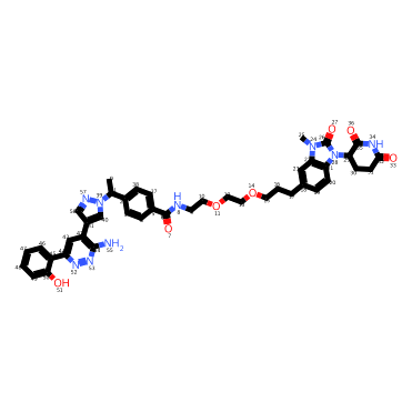 CC(c1ccc(C(=O)NCCOCCOCCCc2ccc3c(c2)n(C)c(=O)n3C2CCC(=O)NC2=O)cc1)n1cc(-c2cc(-c3ccccc3O)nnc2N)cn1